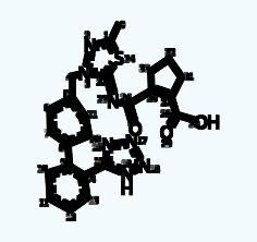 Cc1nn(Cc2ccc(-c3ccccc3-c3nnn[nH]3)cc2)c(=NC(=O)C2=C(C(=O)O)CCC2)s1